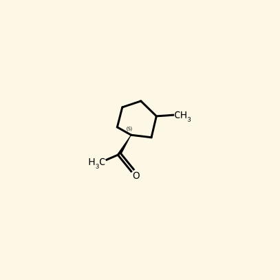 CC(=O)[C@H]1CCCC(C)C1